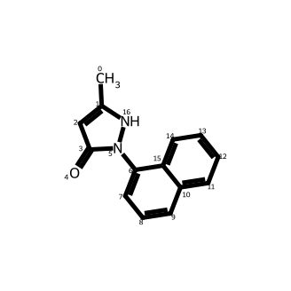 Cc1cc(=O)n(-c2cccc3ccccc23)[nH]1